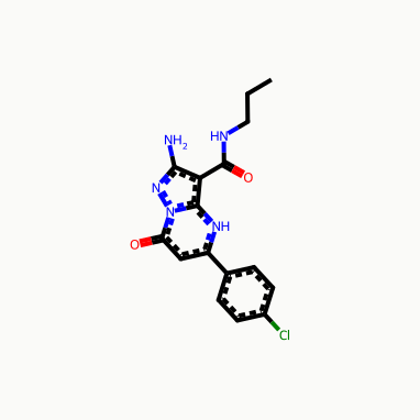 CCCNC(=O)c1c(N)nn2c(=O)cc(-c3ccc(Cl)cc3)[nH]c12